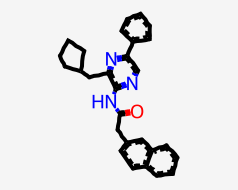 O=C(Cc1ccc2ccccc2c1)Nc1ncc(-c2ccccc2)nc1CC1CCCC1